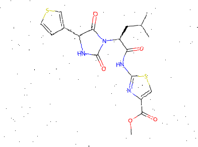 COC(=O)c1csc(NC(=O)[C@H](CC(C)C)N2C(=O)NC(c3ccsc3)C2=O)n1